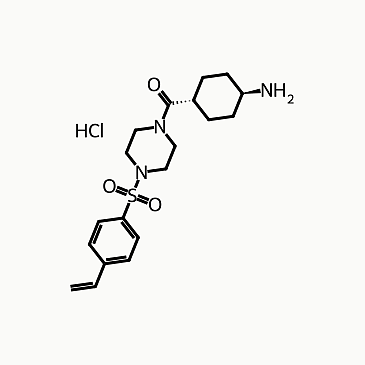 C=Cc1ccc(S(=O)(=O)N2CCN(C(=O)[C@H]3CC[C@H](N)CC3)CC2)cc1.Cl